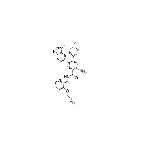 Cn1cnc2ccc(-c3nc(C(=O)NCc4ncccc4OCCO)c(N)nc3-c3ccc(F)cc3)cc21